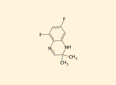 CC1(C)C=Nc2c(F)cc(F)cc2N1